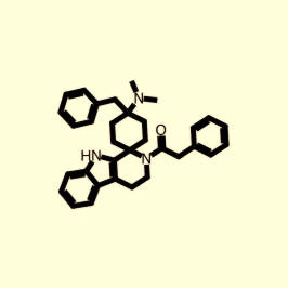 CN(C)C1(Cc2ccccc2)CCC2(CC1)c1[nH]c3ccccc3c1CCN2C(=O)Cc1ccccc1